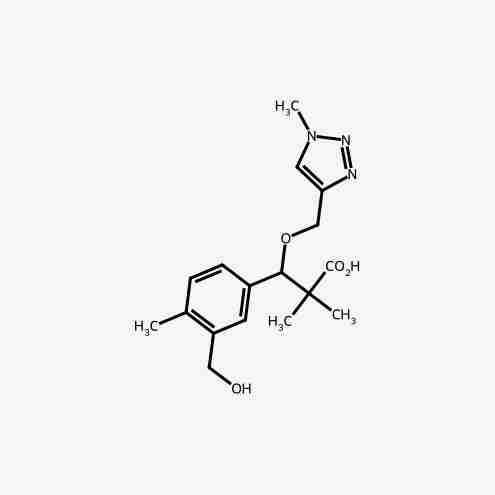 Cc1ccc(C(OCc2cn(C)nn2)C(C)(C)C(=O)O)cc1CO